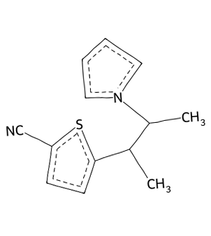 CC(c1ccc(C#N)s1)C(C)n1cccc1